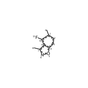 Cc1ccc2onc(C)c2c1F